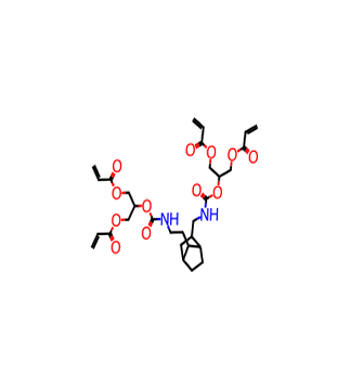 C=CC(=O)OCC(COC(=O)C=C)OC(=O)NCCC1C2CCC1C(CNC(=O)OC(COC(=O)C=C)COC(=O)C=C)C2